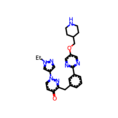 CCn1cc(-n2ccc(=O)c(Cc3cccc(-c4ncc(OCC5CCNCC5)cn4)c3)n2)cn1